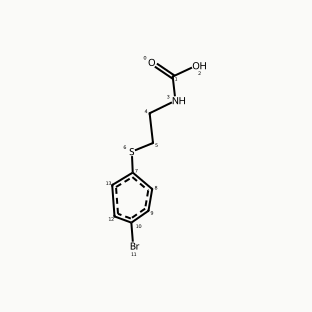 O=C(O)NCCSc1ccc(Br)cc1